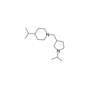 CC(C)C1CCN(CC2CCN(C(C)C)C2)CC1